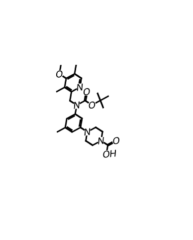 COc1c(C)cnc(CN(C(=O)OC(C)(C)C)c2cc(C)cc(N3CCN(C(=O)O)CC3)c2)c1C